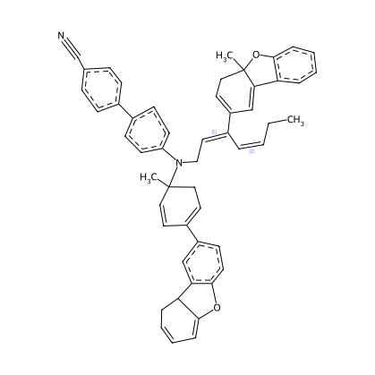 CC/C=C\C(=C/CN(c1ccc(-c2ccc(C#N)cc2)cc1)C1(C)C=CC(c2ccc3c(c2)C2CC=CC=C2O3)=CC1)C1=CCC2(C)Oc3ccccc3C2=C1